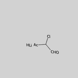 CC(=O)C(Cl)C=O.[LiH]